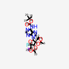 C#C[C@]1(OC(C)=O)[C@H](n2cnc3c(NC(=O)OC(C)(C)C)ncnc32)O[C@](F)(CI)[C@H]1OC(C)=O